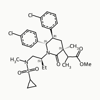 CC[C@@H](CN(C)S(=O)(=O)C1CC1)N1C(=O)[C@](C)(C(C)C(=O)OC)C[C@H](c2cccc(Cl)c2)[C@H]1c1ccc(Cl)cc1